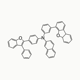 C1=CC2Oc3c(-c4cccc(N(c5ccc(-c6oc7ccccc7c6-c6ccccc6)cc5)c5ccc6ccccc6c5)c4)cccc3C2C=C1